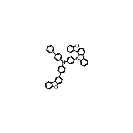 c1ccc(-c2ccc(N(c3ccc(-c4ccc5oc6ccccc6c5c4)cc3)c3ccc(-n4c5ccccc5c5ccc6oc7ccccc7c6c54)cc3)cc2)cc1